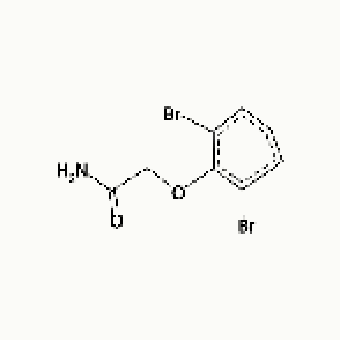 NC(=O)COc1c(Br)cccc1Br